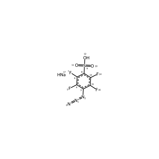 [N-]=[N+]=Nc1c(F)c(F)c(S(=O)(=O)O)c(F)c1F.[NaH]